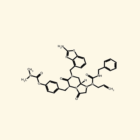 C=CCN(C(=O)NCc1ccccc1)N1CC(=O)N2[C@@H](Cc3ccc(OC(=O)N(C)C)cc3)C(=O)N(Cc3cccc4sc(N)nc34)C[C@@H]21